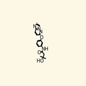 CC(C)(O)CC(=O)Nc1cccc(Oc2ccc3n[c]cn3n2)c1